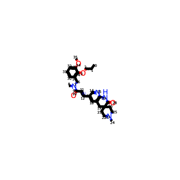 CCCOc1c(CN(C)C(=O)/C=C/c2cnc3c(c2)CC2(CCN(C)CC2)C(=O)N3)cccc1OC